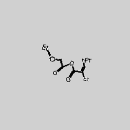 CCCC=C(CC)C(=O)OC(=O)COCC